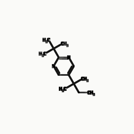 CCC(C)(C)c1cnc(C(C)(C)C)nc1